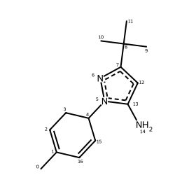 CC1=CCC(n2nc(C(C)(C)C)cc2N)C=C1